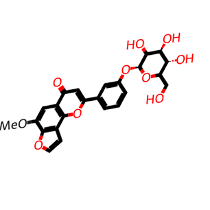 COc1cc2c(=O)cc(-c3cccc(O[C@@H]4OC(CO)[C@@H](O)[C@H](O)C4O)c3)oc2c2ccoc12